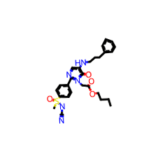 CCCCOC(=O)Cn1c(-c2ccc(S(C)(=O)=NC#N)cc2)ncc(NCCCc2ccccc2)c1=O